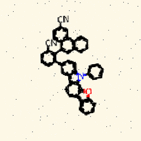 N#Cc1ccc2c(-c3c(C#N)cccc3-c3ccc4c(c3)c3ccc5c6ccccc6oc5c3n4C3=CC=CCC3)cc3ccccc3c2c1